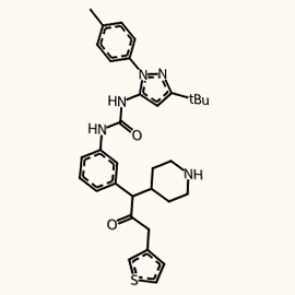 Cc1ccc(-n2nc(C(C)(C)C)cc2NC(=O)Nc2cccc(C(C(=O)Cc3ccsc3)C3CCNCC3)c2)cc1